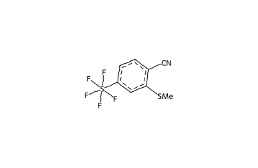 CSc1cc(S(F)(F)(F)(F)F)ccc1C#N